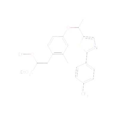 CCOC(=O)C(Cc1ccc(OC(C)c2cnc(-c3ccc(C(F)(F)F)cc3)s2)cc1C)OCC